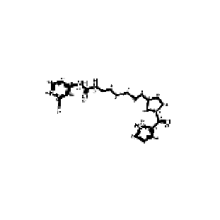 O=C(NCCCCCCC1CCN(C(=O)c2ccc[nH]2)C1)Nc1ccnc(F)c1